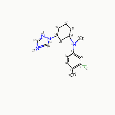 CCN(c1ccc(C#N)c(Cl)c1)C1CCCC(n2cncn2)C1